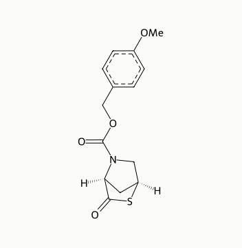 COc1ccc(COC(=O)N2C[C@@H]3C[C@H]2C(=O)S3)cc1